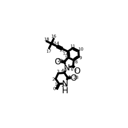 C=C1CCC(N2C(=O)c3cccc(C#CC(C)(C)C)c3C2=O)C(=O)N1